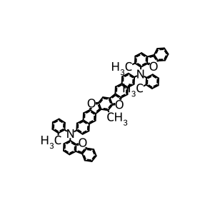 Cc1ccccc1N(c1ccc2cc3c(cc2c1)oc1cc2c(oc4cc5cc(N(c6ccccc6C)c6c(C)ccc7c6oc6ccccc67)ccc5cc42)c(C)c13)c1cccc2c1oc1ccccc12